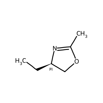 CC[C@@H]1COC(C)=N1